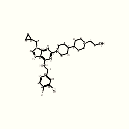 OCCN1CCC(C2CCN(c3nc(NCc4ccc(F)c(Cl)c4)c4ncn(CC5CC5)c4n3)CC2)CC1